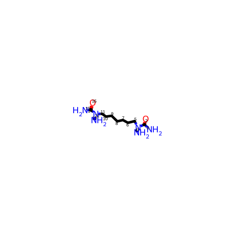 NC(=O)N(N)CCCCCCCN(N)C(N)=O